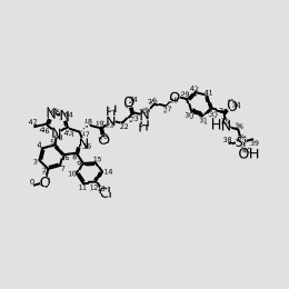 COc1ccc2c(c1)C(c1ccc(Cl)cc1)=N[C@@H](CC(=O)NCC(=O)NCCOc1ccc(C(=O)NC[Si](C)(C)O)cc1)c1nnc(C)n1-2